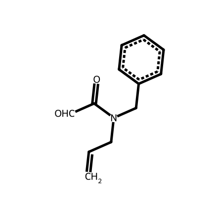 C=CCN(Cc1ccccc1)C(=O)C=O